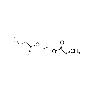 C=CC(=O)OCCOC(=O)CC=O